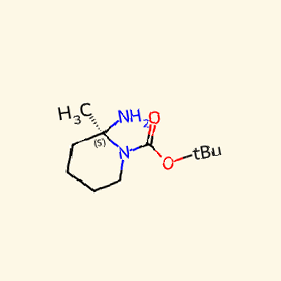 CC(C)(C)OC(=O)N1CCCC[C@@]1(C)N